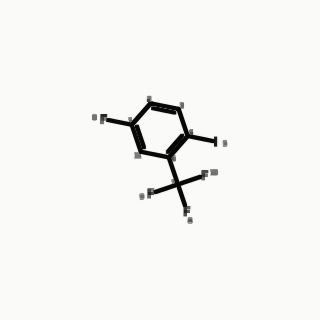 Fc1ccc(I)c(C(F)(F)F)c1